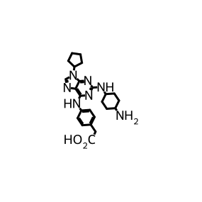 NC1CCC(Nc2nc(Nc3ccc(CC(=O)O)cc3)c3ncn(C4CCCC4)c3n2)CC1